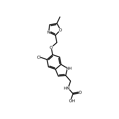 Cc1cnc(COc2cc3[nH]c(CNC(=O)O)cc3cc2Cl)o1